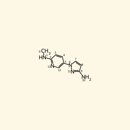 CNc1ccc(-n2ccc(N)n2)cn1